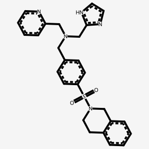 O=S(=O)(c1ccc(CN(Cc2ccccn2)Cc2ncc[nH]2)cc1)N1CCc2ccccc2C1